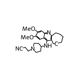 COc1cc2nc3c(c(NC4CCN(CCC#N)CC4)c2cc1OC)CCCCCC3